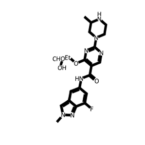 CCOc1nc(N2CCNC(C)C2)ncc1C(=O)Nc1cc(F)c2nn(C)cc2c1.O=CO